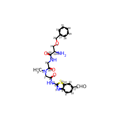 CN(CC(=O)Nc1nc2ccc(C=O)cc2s1)C(=O)CNC(=O)C(N)COCc1ccccc1